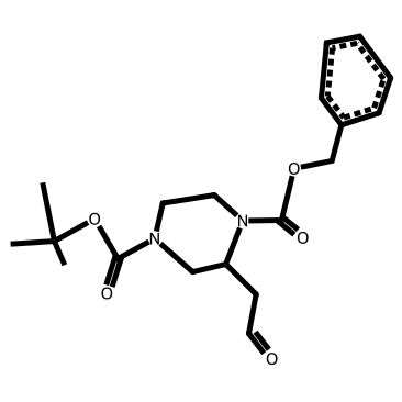 CC(C)(C)OC(=O)N1CCN(C(=O)OCc2ccccc2)C(CC=O)C1